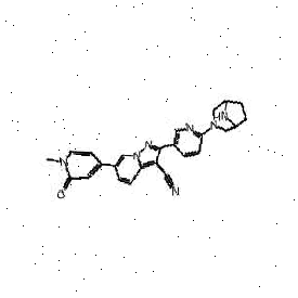 Cn1ccc(-c2ccc3c(C#N)c(-c4ccc(N5CC6CCC(C5)N6)nc4)nn3c2)cc1=O